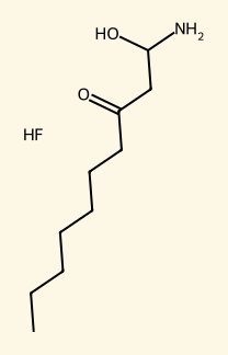 CCCCCCCC(=O)CC(N)O.F